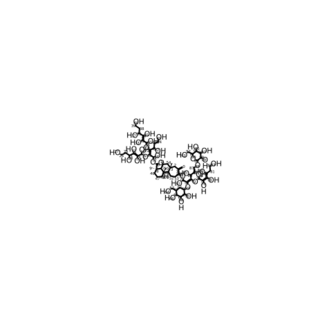 C=C1C[C@@]2(C)CCC3[C@](C)(C(=O)OC(O)/C(OC(O)/C(O)=C(\O)C(O)CCO)=C(/OC(O)/C(O)=C(\O)C(O)CCO)C(O)CCO)CCC[C@@]3(C)[C@@H]2CCC1OC(O)/C(OC1CC(CO)C(O)C(O)C1O)=C(/OC(O)/C(O)=C(/O)C(O)CCO)C(O)CCOC1OC(CO)C(O)C(O)C1O